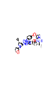 CC(=O)Nc1cc(Oc2ccc3nc(NC4=CC(C5CC5)=CN([C@H]5CCCOC5)C4)n(C)c3c2)ccn1